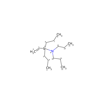 C=C[Si](CCC)(CCC)N(CCC)CCC